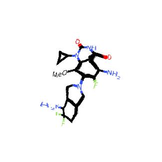 COC1=c2c(c(=O)[nH]c(=O)n2C2CC2)=C(N)C(F)C1N1CC2CCC(F)(F)C(N)C2C1